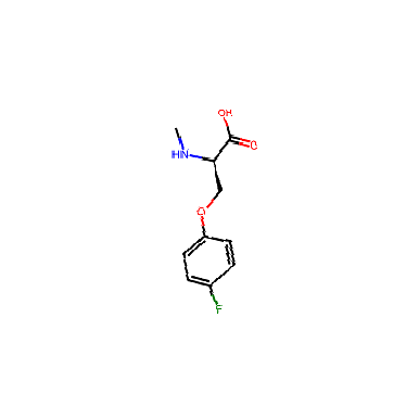 CN[C@H](COc1ccc(F)cc1)C(=O)O